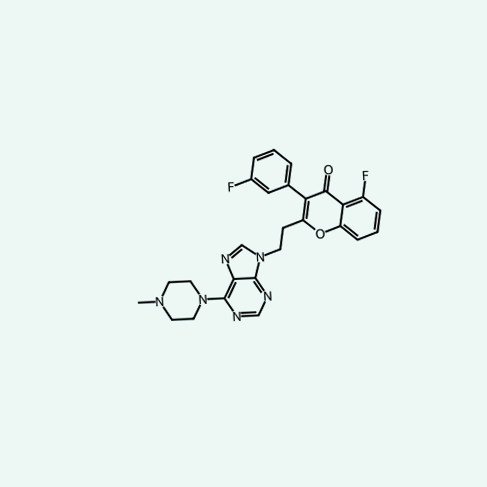 CN1CCN(c2ncnc3c2ncn3CCc2oc3cccc(F)c3c(=O)c2-c2cccc(F)c2)CC1